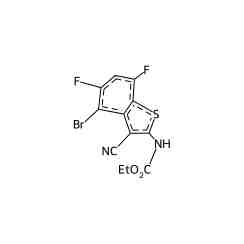 CCOC(=O)Nc1sc2c(F)cc(F)c(Br)c2c1C#N